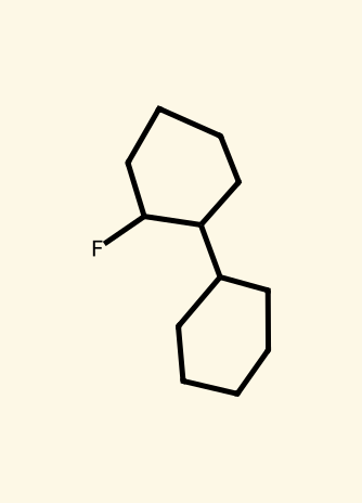 FC1CCCCC1C1CCCCC1